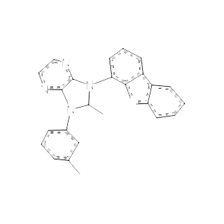 Cc1cccc(N2c3nccnc3N(c3cccc4c3oc3ccccc34)C2C)c1